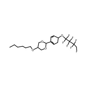 CCCCCCOC1COC(C2=CCC(OC(F)(F)C(F)(F)C(F)(F)CF)C=C2)OC1